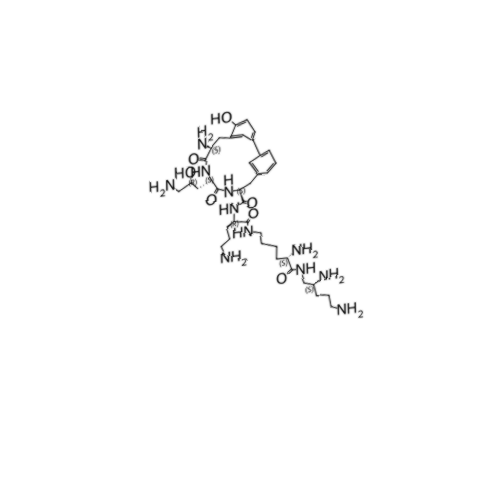 NCCC[C@H](N)CNC(=O)[C@@H](N)CCCCNC(=O)[C@@H](CCCN)NC(=O)[C@@H]1Cc2cccc(c2)-c2ccc(O)c(c2)C[C@H](N)C(=O)N[C@@H](C[C@@H](O)CN)C(=O)N1